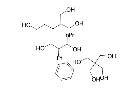 CCCC(O)C(CC)CO.OCC(CO)(CO)CO.OCCCC(CO)CO.c1ccccc1